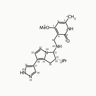 COc1cc(C)[nH]c(=O)c1CNC1[C@H](C(C)C)Cc2c(-c3cn[nH]c3)ccn21